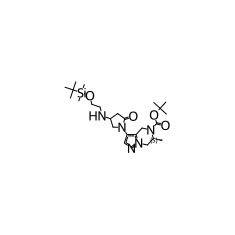 C[C@H]1Cn2ncc(N3CC(NCCO[Si](C)(C)C(C)(C)C)CC3=O)c2CN1C(=O)OC(C)(C)C